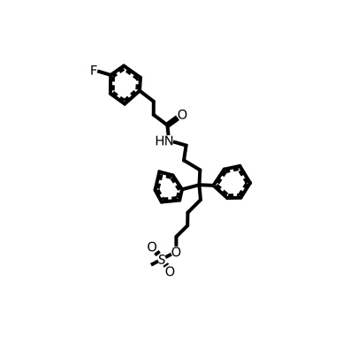 CS(=O)(=O)OCCCCC(CCCNC(=O)CCc1ccc(F)cc1)(c1ccccc1)c1ccccc1